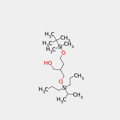 CCC[Si](CCC)(OCC(CO)CCO[Si](C)(C)C(C)(C)C)C(C)C